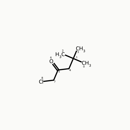 CC(C)(C)CC(=O)CCl